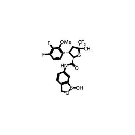 COc1c([C@@H]2C[C@](C)(C(F)(F)F)S[C@H]2C(=O)Nc2ccc3c(c2)B(O)OC3)ccc(F)c1F